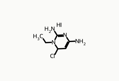 CCN1C(N)=NC(N)=CC1Cl.I